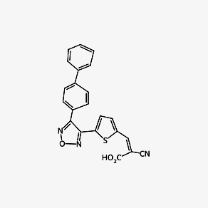 N#CC(=Cc1ccc(-c2nonc2-c2ccc(-c3ccccc3)cc2)s1)C(=O)O